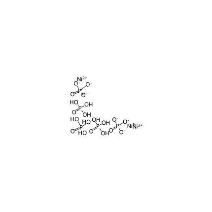 O=P(O)(O)O.O=P(O)(O)O.O=P(O)(O)O.O=P([O-])([O-])[O-].O=P([O-])([O-])[O-].[Ni+2].[Ni+2].[Ni+2]